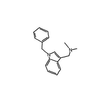 CN(C)Cc1cn(Cc2ccccc2)c2ccccc12